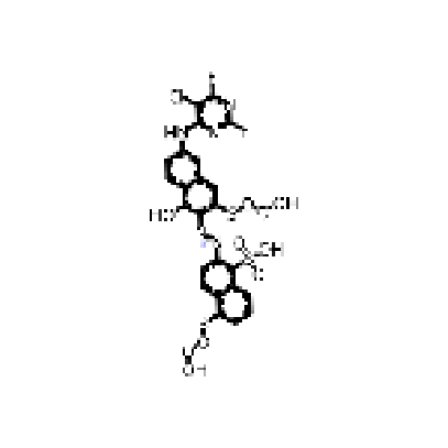 O=S(=O)(O)c1c(/N=N/c2c(SOOO)cc3cc(Nc4nc(F)nc(F)c4Cl)ccc3c2O)ccc2c(SOOO)cccc12